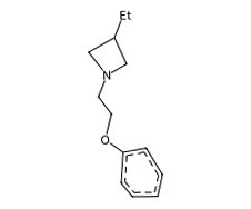 CCC1CN(CCOc2ccccc2)C1